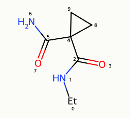 CCNC(=O)C1(C(N)=O)CC1